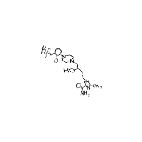 CCc1cccc(N2CCN(CC(O)CCn3cc(C)nc3C(N)=O)CC2)c1Cl